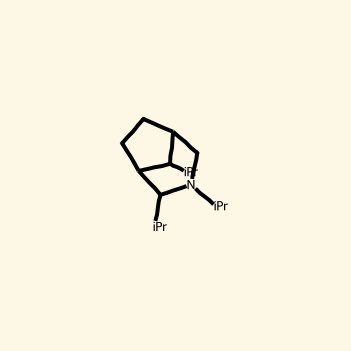 CC(C)C1C2CCC1C(C(C)C)N(C(C)C)C2